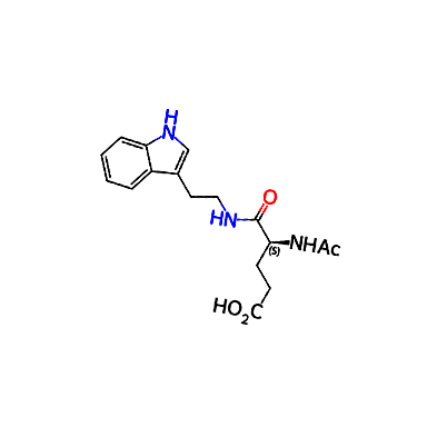 CC(=O)N[C@@H](CCC(=O)O)C(=O)NCCc1c[nH]c2ccccc12